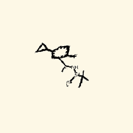 C[C@H](N[S+]([O-])C(C)(C)C)c1cc(C2CC2)ccc1F